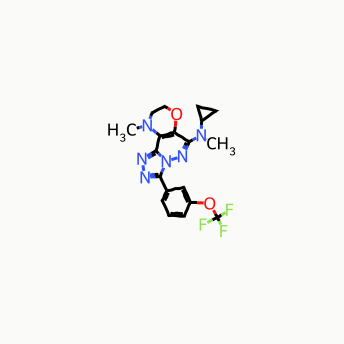 CN1CCOc2c(N(C)C3CC3)nn3c(-c4cccc(OC(F)(F)F)c4)nnc3c21